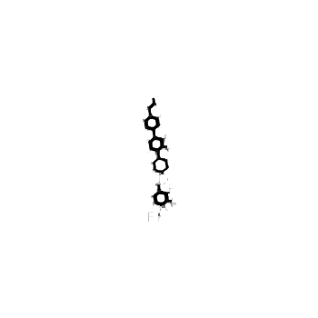 C/C=C/c1ccc(-c2ccc(C3CCC(OCc4ccc(OCC)c(F)c4F)CC3)c(F)c2F)cc1